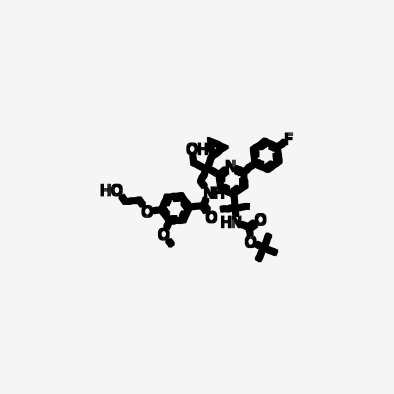 COc1cc(C(=O)NCC(CO)(c2cc(C(C)(C)NC(=O)OC(C)(C)C)cc(-c3ccc(F)cc3)n2)C2CC2)ccc1OCCO